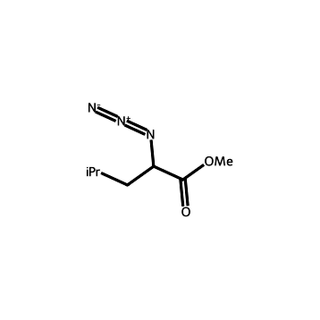 COC(=O)C(CC(C)C)N=[N+]=[N-]